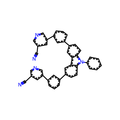 N#Cc1cncc(-c2cccc(-c3ccc4c(c3)c3cc(-c5cccc(-c6cncc(C#N)c6)c5)ccc3n4-c3ccccc3)c2)c1